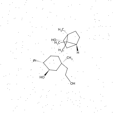 CC(C)[C@@H]1CC[C@@](C)(CCO)C[C@H]1O.CC1(C)[C@@H]2CC[C@]1(C)[C@@H](O)C2